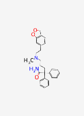 CN(CCCC(C(N)=O)(c1ccccc1)c1ccccc1)CCc1ccc2c(c1)OOC2